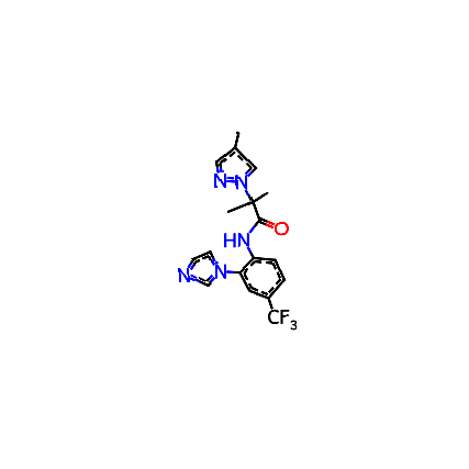 Cc1cnn(C(C)(C)C(=O)Nc2ccc(C(F)(F)F)cc2-n2ccnc2)c1